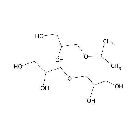 CC(C)OCC(O)CO.OCC(O)COCC(O)CO